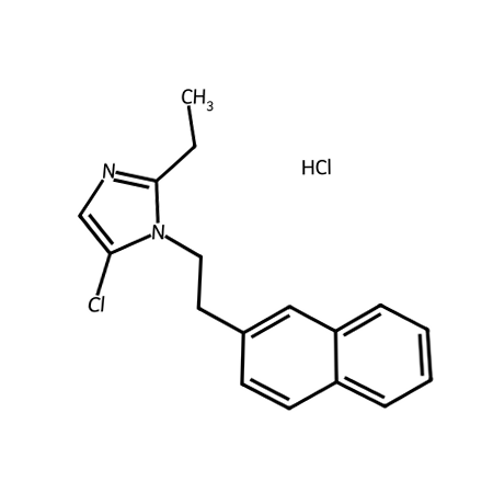 CCc1ncc(Cl)n1CCc1ccc2ccccc2c1.Cl